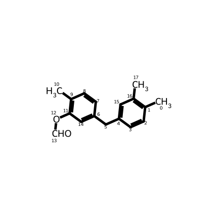 Cc1ccc(Cc2ccc(C)c(OC=O)c2)cc1C